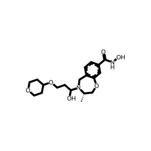 C[C@H]1COc2cc(C(=O)NO)ccc2CN1C(O)CCOC1CCOCC1